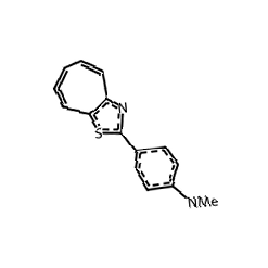 CNc1ccc(-c2nc3c(s2)C=C=CC=C3)cc1